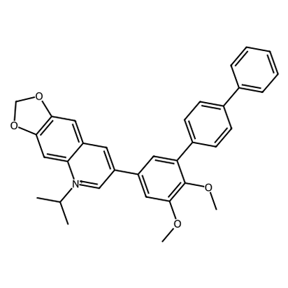 COc1cc(-c2cc3cc4c(cc3[n+](C(C)C)c2)OCO4)cc(-c2ccc(-c3ccccc3)cc2)c1OC